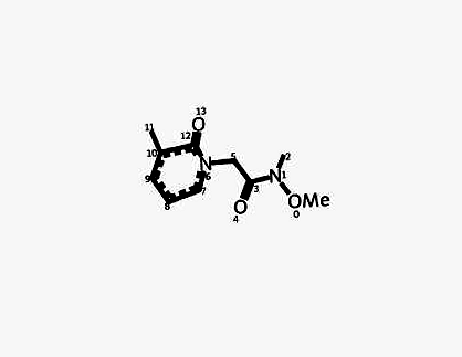 CON(C)C(=O)Cn1cccc(C)c1=O